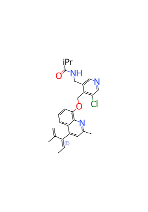 C=C(C)/C(=C\C)c1cc(C)nc2c(OCc3c(Cl)cncc3CNC(=O)C(C)C)cccc12